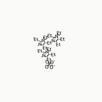 CCc1c(CC)[n+](CC)c(CC)n1C.CCc1c(CC)[n+](CC)c(CC)n1C.CCc1c(CC)[n+](CC)c(CC)n1C.O=P([O-])([O-])[O-]